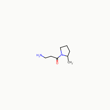 [CH2]C1CCCN1C(=O)CCN